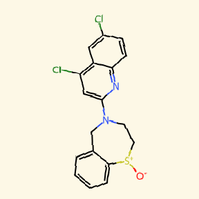 [O-][S+]1CCN(c2cc(Cl)c3cc(Cl)ccc3n2)Cc2ccccc21